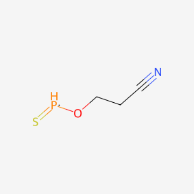 N#CCCO[PH]=S